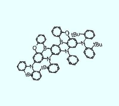 CC(C)(C)c1ccccc1N(c1cc2c3c(c1)N(c1ccccc1)c1cc4c(cc1B3c1ccccc1O2)B1c2ccccc2Oc2cc(N(c3ccccc3C(C)(C)C)c3ccccc3C(C)(C)C)cc(c21)N4c1ccccc1)c1ccccc1C(C)(C)C